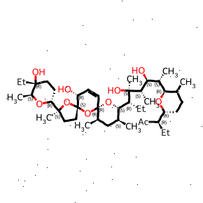 CC[C@H]([C@H]1O[C@]2(C=C[C@@H](O)[C@]3(CC[C@@](C)([C@H]4CC[C@](O)(CC)[C@H](C)O4)O3)O2)[C@H](C)C[C@@H]1C)[C@@](C)(O)[C@@H](C)[C@@H](O)[C@H](C)[C@@H]1O[C@@H]([C@@H](CC)C(C)=O)CCC1C